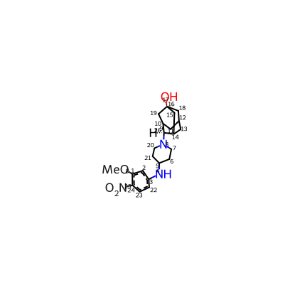 COc1cc(NC2CCN([C@H]3C4CC5CC3C[C@@](O)(C5)C4)CC2)ccc1[N+](=O)[O-]